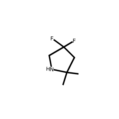 CC1(C)CC(F)(F)CN1